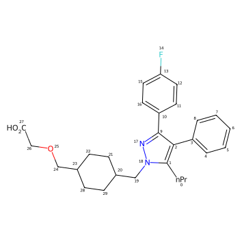 CCCc1c(-c2ccccc2)c(-c2ccc(F)cc2)nn1CC1CCC(COCC(=O)O)CC1